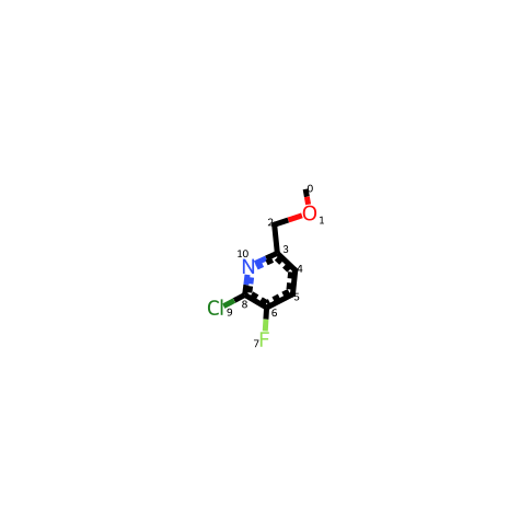 COCc1ccc(F)c(Cl)n1